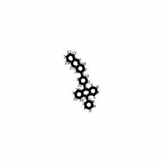 c1ccc(-c2c3ccccc3c(-c3ccc(-c4ccc5cc6ccccc6cc5c4)cc3)c3ccccc23)cc1